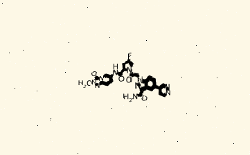 Cn1nc2ccc(NC(=O)C3CC(F)CN3C(=O)Cn3nc(C(N)=O)c4cc(-c5ccnnc5)ccc43)cn2c1=O